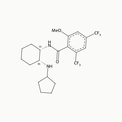 COc1cc(C(F)(F)F)cc(C(F)(F)F)c1C(=O)N[C@H]1CCCC[C@H]1NC1CCCC1